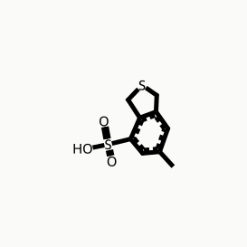 Cc1cc2c(c(S(=O)(=O)O)c1)CSC2